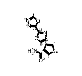 NC=O.c1ccsc1.c1nnc(-c2nnco2)o1